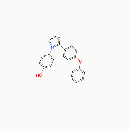 Oc1ccc(-n2cccc2-c2ccc(Oc3ccccc3)cc2)cc1